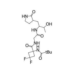 CC(O)C(CC1CCNC1=O)NC(=O)CNC(=O)C1(NC(=O)C(C)(C)C)CC(F)(F)C1